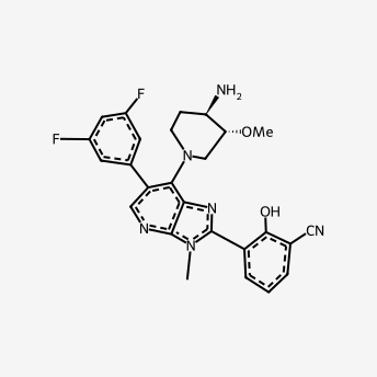 CO[C@@H]1CN(c2c(-c3cc(F)cc(F)c3)cnc3c2nc(-c2cccc(C#N)c2O)n3C)CC[C@H]1N